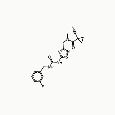 CN(Cc1nsc(NC(=O)NCc2cccc(F)c2)n1)C(=O)C1(C#N)CC1